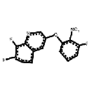 O=[N+]([O-])c1c(F)cccc1Oc1cnc2c(F)c(F)ccc2c1